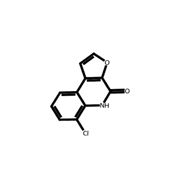 O=c1[nH]c2c(Cl)cccc2c2ccoc12